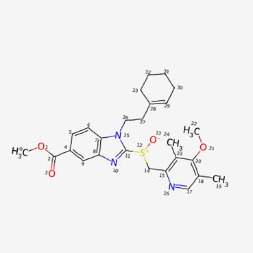 COC(=O)c1ccc2c(c1)nc([S+]([O-])Cc1ncc(C)c(OC)c1C)n2CCC1=CCCCC1